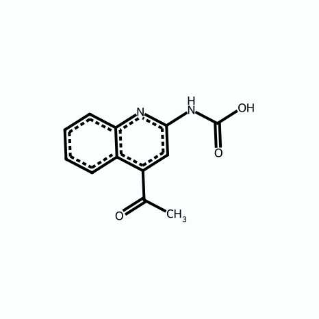 CC(=O)c1cc(NC(=O)O)nc2ccccc12